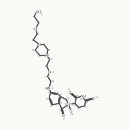 NCCOCCN1CCN(CCOCCNc2ccc3c(c2)C[N+]([O-])(C2CCC(=O)NC2=O)C3=O)CC1